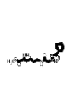 COC(=O)C(N)CCCCNC(=O)Cn1nnc(-c2ccccc2)n1